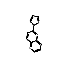 c1cnc2ccc(-n3cccn3)nc2c1